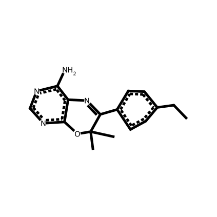 CCc1ccc(C2=Nc3c(N)ncnc3OC2(C)C)cc1